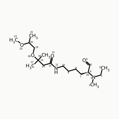 CCN(C)[C@H](C=O)CCCCNC(=O)CC(C)(C)OCC(C)OC